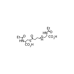 CCC(=O)N[C@@H](CSC(=O)CCC=[SH]C[C@H](NC(=O)CC)C(=O)O)C(=O)O